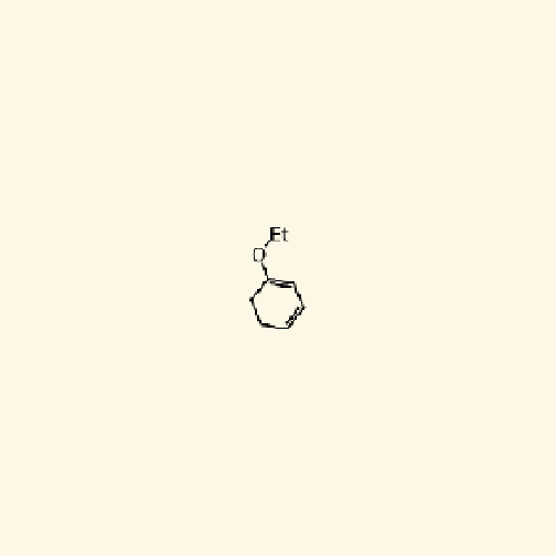 CCOC1=CC=CCC1